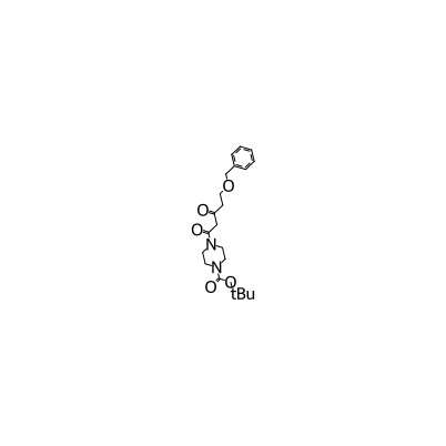 CC(C)(C)OC(=O)N1CCN(C(=O)CC(=O)CCOCc2ccccc2)CC1